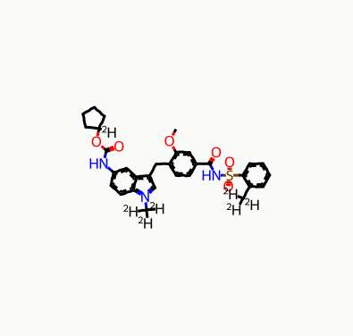 [2H]C1(OC(=O)Nc2ccc3c(c2)c(Cc2ccc(C(=O)NS(=O)(=O)c4ccccc4C([2H])([2H])[2H])cc2OC)cn3C([2H])([2H])[2H])CCCC1